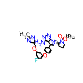 Cc1ncc(COc2cc(F)cc(Oc3ccc(-c4cn(C[C@H]5CCCN5C(=O)OC(C)(C)C)c5ncnc(N)c45)cc3)c2)cn1